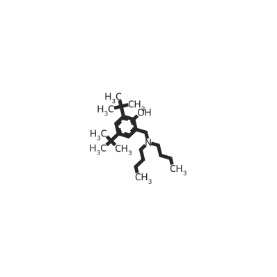 CCCCN(CCCC)Cc1cc(C(C)(C)C)cc(C(C)(C)C)c1O